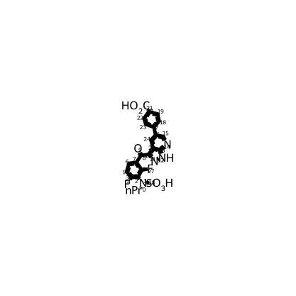 CCCN(c1c(F)ccc(C(=O)c2n[nH]c3ncc(-c4ccc(C(=O)O)cc4)cc23)c1F)S(=O)(=O)O